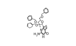 C[C@@]1(OCC2=CC=CCC2)[C@H](OCc2ccccc2)[C@@H](COCc2ccccc2)O[C@H]1c1scc2c(=O)[nH]c(N)nc12